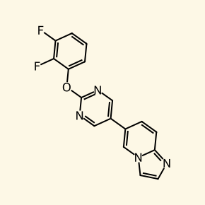 Fc1cccc(Oc2ncc(-c3ccc4nccn4c3)cn2)c1F